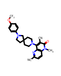 Cn1c(=O)c(C#N)c(N2CCC3(CCN(c4ccc(OC(F)(F)F)cc4)C3)CC2)c2nc(C#N)ccc21